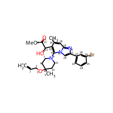 C=CCOC1(C)CCN(c2c(C(O)C(=O)OC)c(C)cc3nc(-c4cccc(Br)c4)cn23)CC1